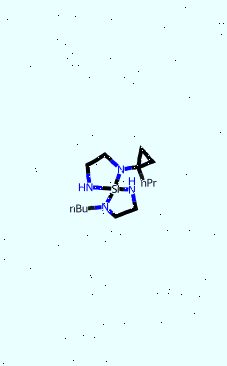 CCCCN1CCN[Si]12NCCN2C1(CCC)CC1